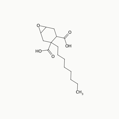 CCCCCCCCC1(C(=O)O)CC2OC2CC1C(=O)O